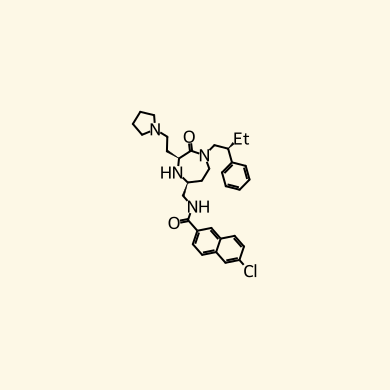 CC[C@H](CN1CC[C@@H](CNC(=O)c2ccc3cc(Cl)ccc3c2)N[C@@H](CCN2CCCC2)C1=O)c1ccccc1